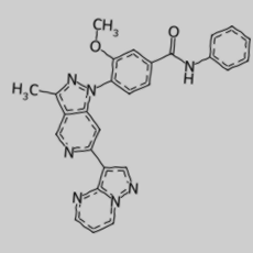 COc1cc(C(=O)Nc2ccccc2)ccc1-n1nc(C)c2cnc(-c3cnn4cccnc34)cc21